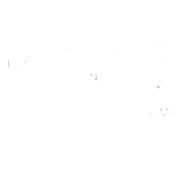 COc1ccc(-c2nc(-c3ccc(C(=O)O)cc3)cs2)cc1OC1CCCC1